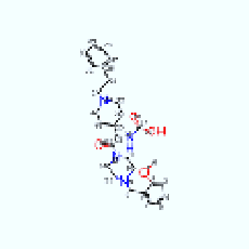 COc1ccccc1CN1CCN(C(=O)[C@@H](NC(=O)O)C2CCN(CCc3ccccc3)CC2)CC1